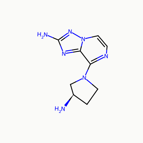 Nc1nc2c(N3CC[C@@H](N)C3)nccn2n1